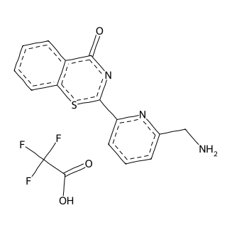 NCc1cccc(-c2nc(=O)c3ccccc3s2)n1.O=C(O)C(F)(F)F